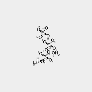 O.O=S(=O)([O-])[O-].O=S(=O)([O-])[O-].O=S(=O)([O-])[O-].[La+3].[La+3]